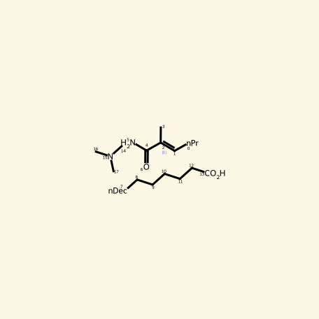 CCC/C=C(\C)C(N)=O.CCCCCCCCCCCCCCCC(=O)O.CN(C)C